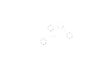 CC(C)(C1=CC[CH]C(c2cccc(C(O)Cc3ccccc3)c2)=C1)c1ccccc1